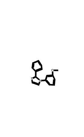 COc1cccc(N2C=CSC2c2ccccc2)c1